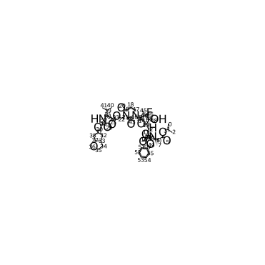 CC(C)OC(=O)[C@H](C)N[P@@](=O)(OC[C@H]1O[C@@H](n2ccc(=O)n(COC(=O)[C@@H](NC(=O)OC3CC4CCOC4C3)C(C)C)c2=O)[C@](C)(F)[C@@H]1O)Oc1ccccc1